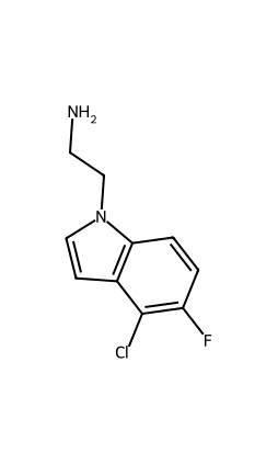 NCCn1ccc2c(Cl)c(F)ccc21